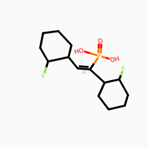 O=P(O)(O)/C(=C\C1CCCCC1F)C1CCCCC1F